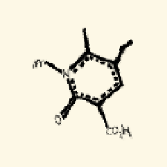 Cc1cc(C(=O)O)c(=O)n(C(C)C)c1C